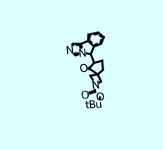 CC(C)(C)OC(=O)N1CC2(CCC(C3c4ccccc4-c4cncn43)C2=O)C1